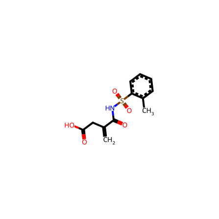 C=C(CC(=O)O)C(=O)NS(=O)(=O)c1ccccc1C